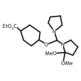 CCOC(=O)C1CCC(OC(N2CCCC2)N2CCCC2(OC)OC)CC1